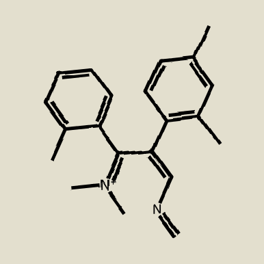 C=N/C=C(\C(c1ccccc1C)=[N+](C)C)c1ccc(C)cc1C